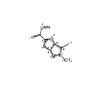 COC(=O)c1cc2nn(C)c(I)c2s1